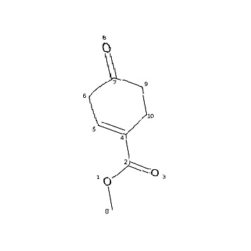 COC(=O)C1=CCC(=O)CC1